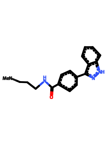 CNCCCNC(=O)c1ccc(-c2n[nH]c3ccccc23)cc1